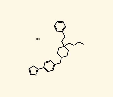 CCOCC1(CCc2ccccc2)CCN(Cc2ccc(-c3nccs3)cc2)CC1.Cl